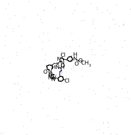 COC(=O)Nc1ccc(-c2[nH]c([C@H](Cc3ccc(=O)[nH]c3)NC(=O)/C=C/c3cc(Cl)ccc3-n3cnnn3)nc2Cl)cc1